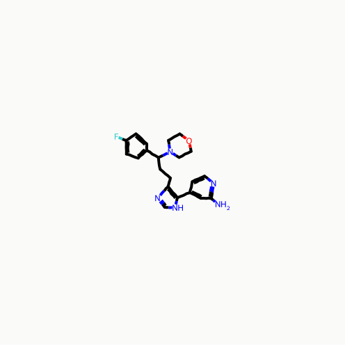 Nc1cc(-c2[nH]cnc2CCC(c2ccc(F)cc2)N2CCOCC2)ccn1